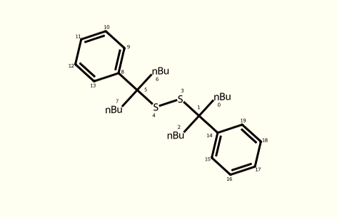 CCCCC(CCCC)(SSC(CCCC)(CCCC)c1ccccc1)c1ccccc1